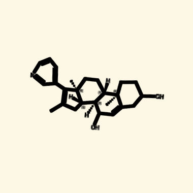 CC1=C(c2cccnc2)[C@@]2(C)CC[C@H]3[C@@H](C(O)C=C4CC(O)CC[C@@]43C)[C@@H]2C1